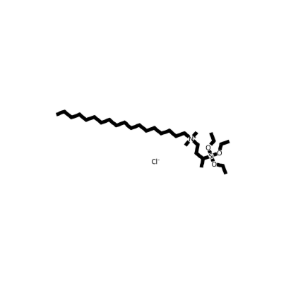 CCCCCCCCCCCCCCCCCC[N+](C)(C)CCC(C)[Si](OCC)(OCC)OCC.[Cl-]